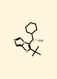 CC(C)(C)c1sc2cncn2c1[C@@H](O)C1CCCCC1